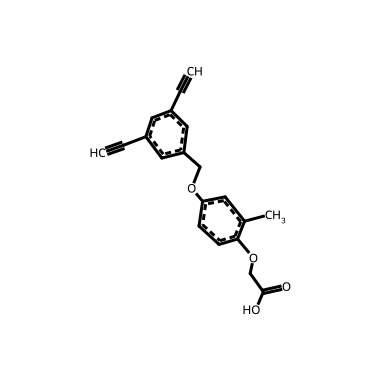 C#Cc1cc(C#C)cc(COc2ccc(OCC(=O)O)c(C)c2)c1